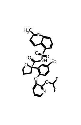 CCc1ccc(Oc2cccnc2OC(F)F)c([C@]2(C(=O)NS(=O)(=O)c3cccc4nc(C)ccc34)CCCO2)c1